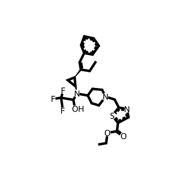 CCOC(=O)c1cnc(CN2CCC(N(C(O)C(F)(F)F)[C@@H]3C[C@H]3/C(=C/c3ccccc3)CC)CC2)s1